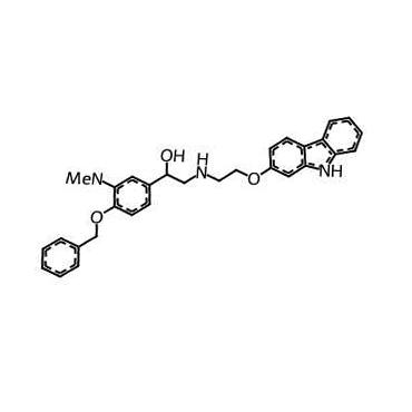 CNc1cc(C(O)CNCCOc2ccc3c(c2)[nH]c2ccccc23)ccc1OCc1ccccc1